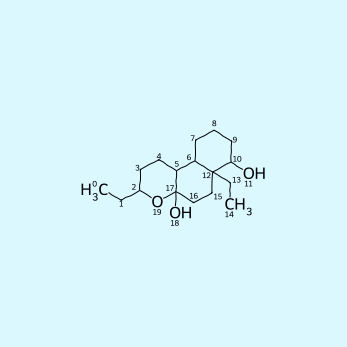 CCC1CCC2C3CCCC(O)C3(CC)CCC2(O)O1